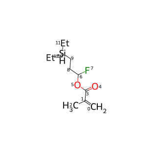 C=C(C)C(=O)OC(F)CC[SiH](CC)CC